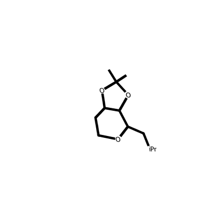 CC(C)CC1OCCC2OC(C)(C)OC12